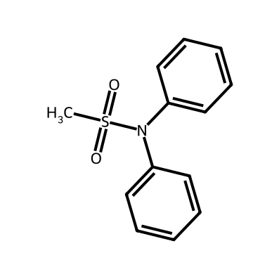 CS(=O)(=O)N(c1ccccc1)c1ccccc1